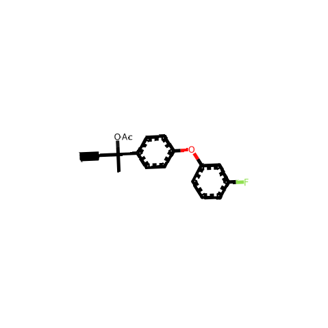 C#CC(C)(OC(C)=O)c1ccc(Oc2cccc(F)c2)cc1